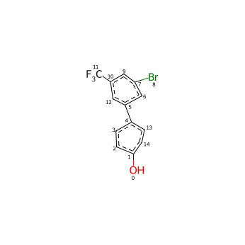 Oc1ccc(-c2cc(Br)cc(C(F)(F)F)c2)cc1